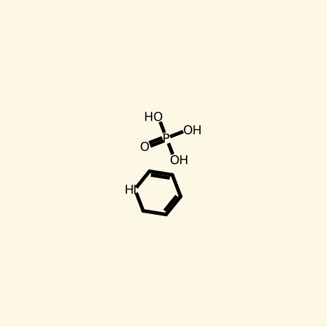 C1=CC[IH]C=C1.O=P(O)(O)O